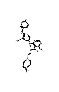 CCN1CCN(CCOc2n[nH]c3ncnc(Nc4ccc(Oc5ccc(C)nc5)c(Cl)c4)c23)CC1